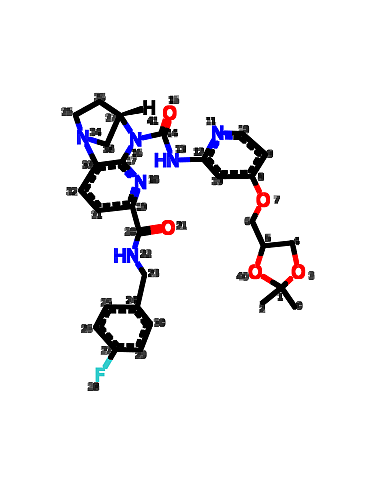 CC1(C)OCC(COc2ccnc(NC(=O)N3c4nc(C(=O)NCc5ccc(F)cc5)ccc4N4CC[C@H]3C4)c2)O1